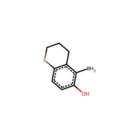 Bc1c(O)ccc2c1CCCS2